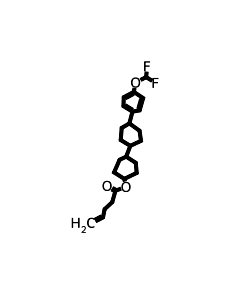 C=CCCC(=O)OC1CCC(C2CCC(c3ccc(OC(F)F)cc3)CC2)CC1